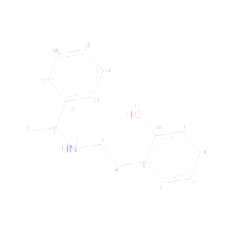 CC(NCCc1ccccc1O)c1ccccc1